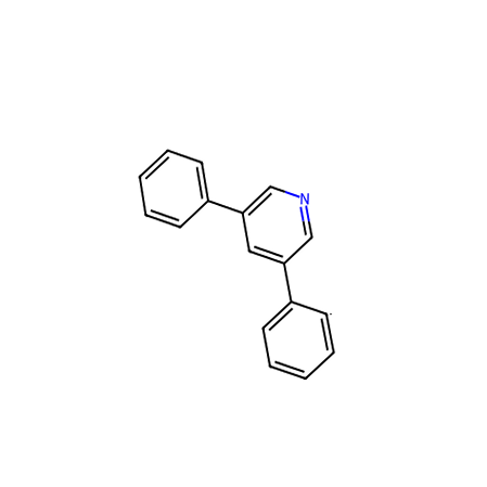 [c]1ccccc1-c1cncc(-c2ccccc2)c1